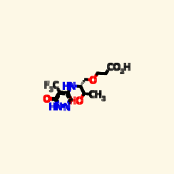 C[C@@H](O)[C@@H](COCCC(=O)O)Nc1cn[nH]c(=O)c1C(F)(F)F